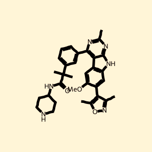 COc1cc2c(cc1-c1c(C)noc1C)[nH]c1nc(C)nc(-c3cccc(C(C)(C)C(=O)NC4CCNCC4)c3)c12